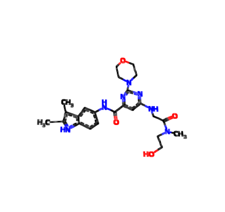 Cc1[nH]c2ccc(NC(=O)c3cc(NCC(=O)N(C)CCO)nc(N4CCOCC4)n3)cc2c1C